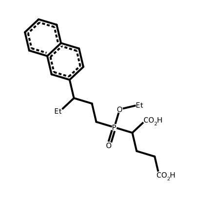 CCOP(=O)(CCC(CC)c1ccc2ccccc2c1)C(CCC(=O)O)C(=O)O